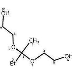 CCC(C)(OCCO)OCCO